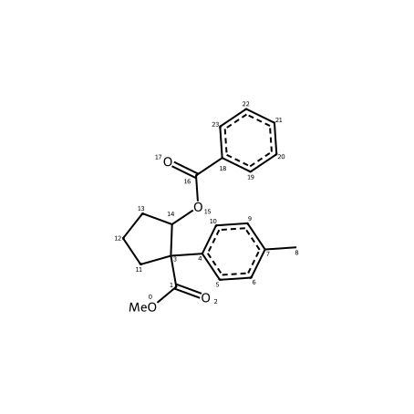 COC(=O)C1(c2ccc(C)cc2)CCCC1OC(=O)c1ccccc1